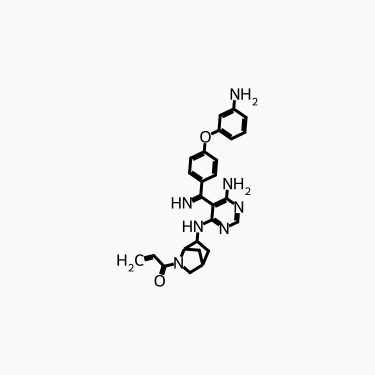 C=CC(=O)N1CC2CC(Nc3ncnc(N)c3C(=N)c3ccc(Oc4cccc(N)c4)cc3)C1C2